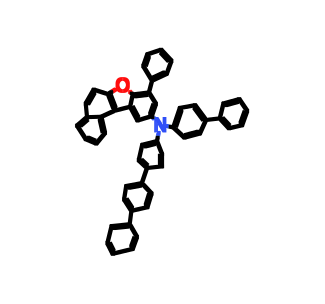 c1ccc(-c2ccc(-c3ccc(N(c4ccc(-c5ccccc5)cc4)c4cc(-c5ccccc5)c5oc6ccc7ccccc7c6c5c4)cc3)cc2)cc1